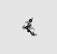 Cn1c(=O)n(CC(=O)Nc2ccc(F)cc2)c2cc(C(F)(F)F)cc(C3=CC(CCc4nc[nH]n4)C=C3)c21